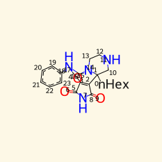 CCCCCCC1(C2=C(C)C(=O)NC2=O)CNCCN1C(=O)Nc1ccccc1